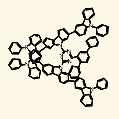 c1ccc(-c2ccc(-c3ccccc3)c(-c3nc(-n4c5cc(-c6ccc7c(c6)c6ccccc6n7-c6ccccc6)ccc5c5ccc(-c6ccc7c(c6)c6ccccc6n7-c6ccccc6)cc54)nc(-n4c5cc(-c6ccc7c(c6)c6ccccc6n7-c6ccccc6)ccc5c5ccc(-c6ccc7c(c6)c6ccccc6n7-c6ccccc6)cc54)n3)c2)cc1